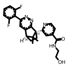 CC1(C)[C@H]2CC[C@]1(c1cc(C(=O)NCCO)ccn1)c1nnc(-c3c(F)cccc3F)cc12